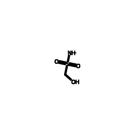 [NH]S(=O)(=O)CO